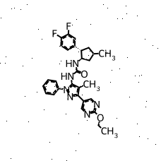 CCOc1ncc(-c2nn(-c3ccccc3)c(NC(=O)N[C@@H]3CC(C)C[C@H]3c3ccc(F)c(F)c3)c2C)cn1